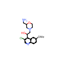 COc1ccc2ncc(Cl)c(C(O)CN3CCOC(CN)C3)c2c1